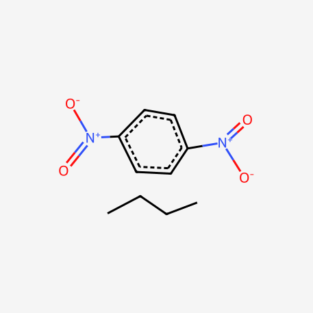 CCCC.O=[N+]([O-])c1ccc([N+](=O)[O-])cc1